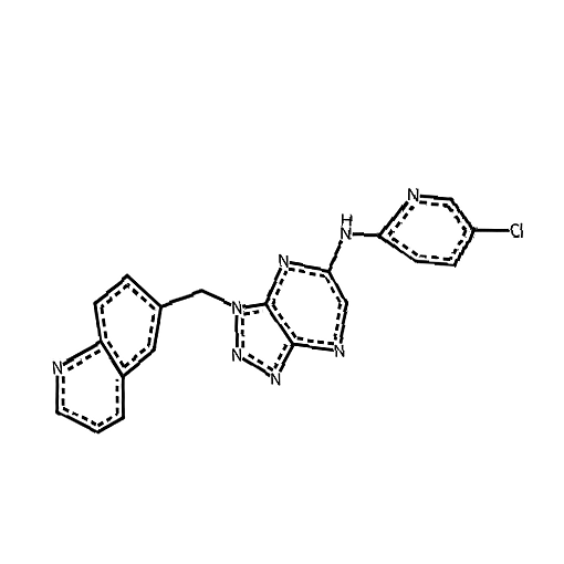 Clc1ccc(Nc2cnc3nnn(Cc4ccc5ncccc5c4)c3n2)nc1